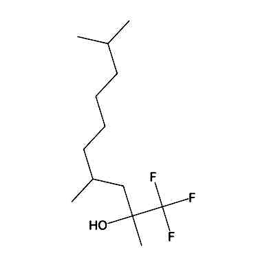 CC(C)CCCCC(C)CC(C)(O)C(F)(F)F